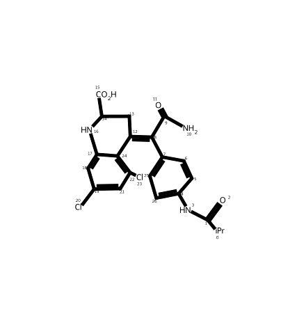 CC(C)C(=O)Nc1ccc(/C(C(N)=O)=C2/CC(C(=O)O)Nc3cc(Cl)cc(Cl)c32)cc1